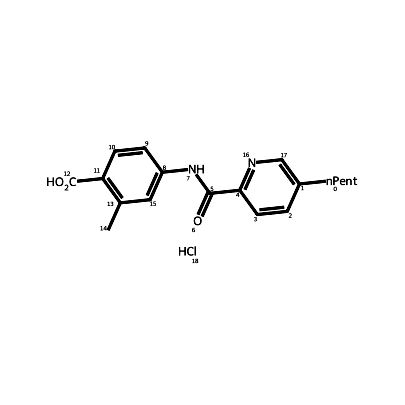 CCCCCc1ccc(C(=O)Nc2ccc(C(=O)O)c(C)c2)nc1.Cl